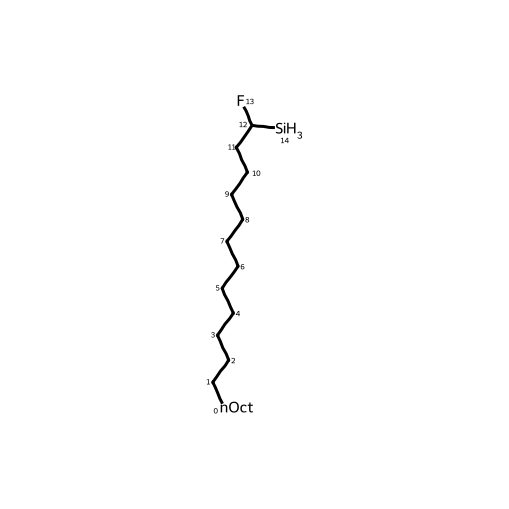 CCCCCCCCCCCCCCCCCCCC(F)[SiH3]